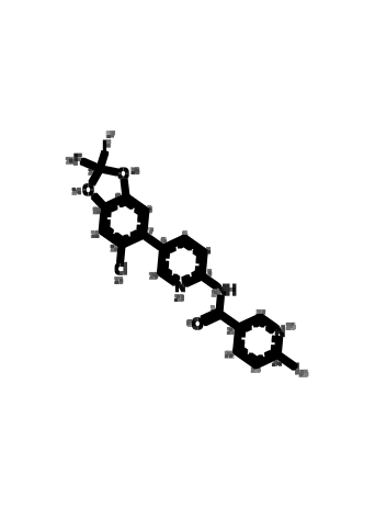 O=C(Nc1ccc(-c2cc3c(cc2Cl)OC(F)(F)O3)cn1)c1ccc(I)nc1